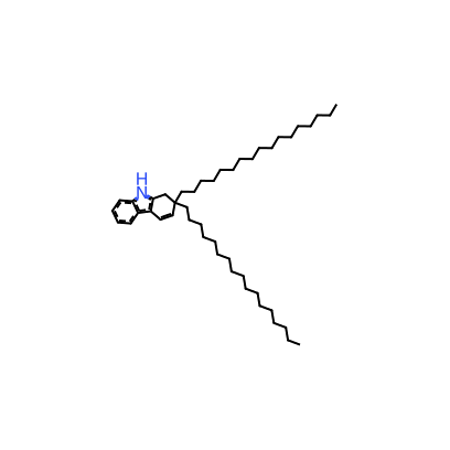 CCCCCCCCCCCCCCCCCC1(CCCCCCCCCCCCCCCCC)C=Cc2c([nH]c3ccccc23)C1